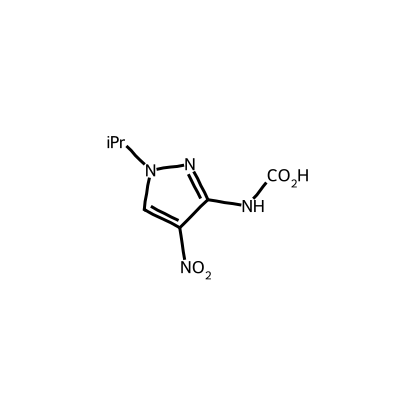 CC(C)n1cc([N+](=O)[O-])c(NC(=O)O)n1